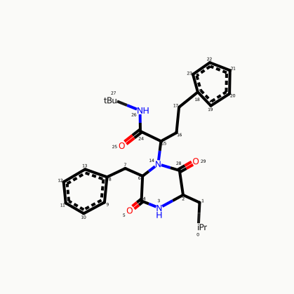 CC(C)CC1NC(=O)C(Cc2ccccc2)N(C(CCc2ccccc2)C(=O)NC(C)(C)C)C1=O